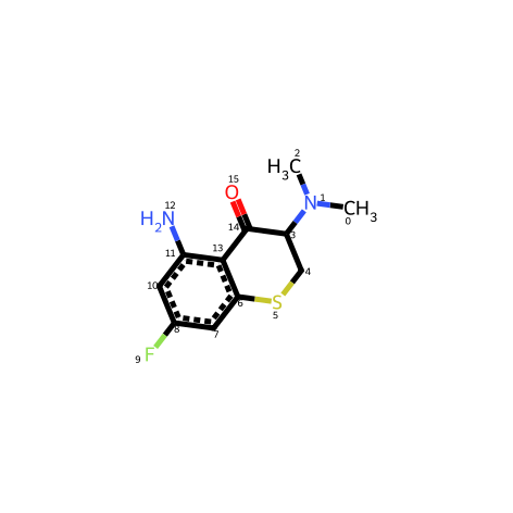 CN(C)C1CSc2cc(F)cc(N)c2C1=O